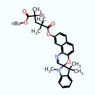 CCCCOC(=O)C(C)(Br)CC(C)(C)C(=O)Oc1ccc2ccc3c(c2c1)N=CC1(O3)N(C)c2ccccc2C1(C)C